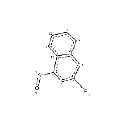 O=[S+]c1[c]c(F)cc2ccccc12